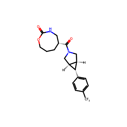 O=C1NC[C@H](C(=O)N2C[C@@H]3[C@H](C2)[C@H]3c2ccc(C(F)(F)F)cc2)CCCO1